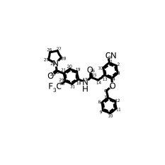 N#Cc1ccc(OCc2ccccc2)c(CC(=O)Nc2ccc(C(=O)N3CCCC3)c(C(F)(F)F)c2)c1